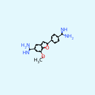 COc1cc(C(=N)N)cc2cc(-c3ccc(C(=N)N)cc3)oc12